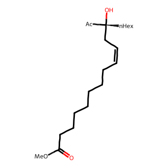 CCCCCC[C@@](O)(C/C=C\CCCCCCCC(=O)OC)C(C)=O